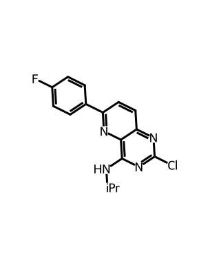 CC(C)Nc1nc(Cl)nc2ccc(-c3ccc(F)cc3)nc12